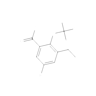 CCc1cc(Br)cc(C(=O)O)c1OC(F)(F)F